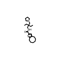 CCC(CC)(CNC(=O)c1cc2c(s1)CCCCCC2)CN1CCCC1